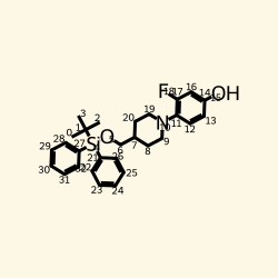 CC(C)(C)[Si](OCC1CCN(c2ccc(O)cc2F)CC1)(c1ccccc1)c1ccccc1